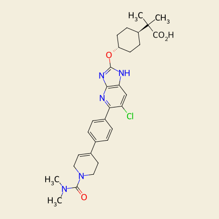 CN(C)C(=O)N1CC=C(c2ccc(-c3nc4nc(O[C@H]5CC[C@H](C(C)(C)C(=O)O)CC5)[nH]c4cc3Cl)cc2)CC1